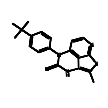 Cc1sc2nccc3c2c1NC(=O)N3c1ccc(C(C)(C)C)cc1